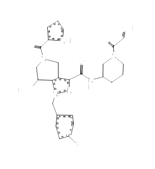 C=CC(=O)N1CCCC(NC(=O)c2nn(Cc3ccc(F)cc3)c3c2CN(C(=O)c2ccc[nH]2)CC3C)C1